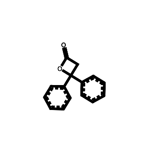 O=C1CC(c2ccccc2)(c2ccccc2)O1